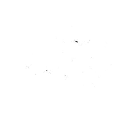 O=C(O)[C@@H]1CCCN1c1cc(N[C@@H]2CCCNC2)nc(-c2cnc3ccc(F)cn23)n1